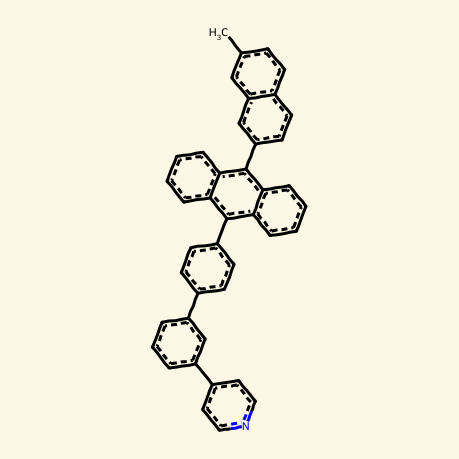 Cc1ccc2ccc(-c3c4ccccc4c(-c4ccc(-c5cccc(-c6ccncc6)c5)cc4)c4ccccc34)cc2c1